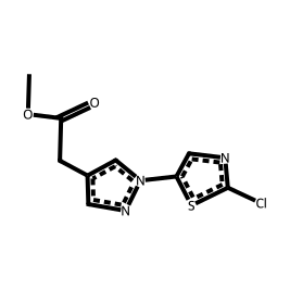 COC(=O)Cc1cnn(-c2cnc(Cl)s2)c1